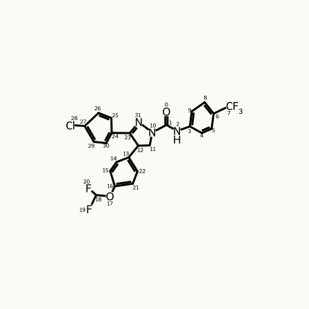 O=C(Nc1ccc(C(F)(F)F)cc1)N1CC(c2ccc(OC(F)F)cc2)C(c2ccc(Cl)cc2)=N1